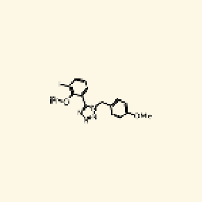 COc1ccc(Cn2nnnc2-c2cccc(I)c2OC(C)C)cc1